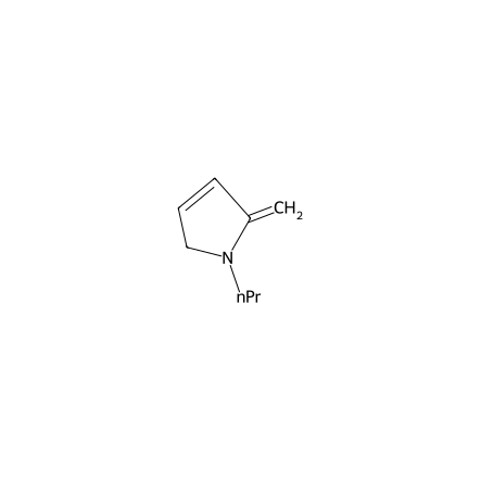 C=C1C=CCN1CCC